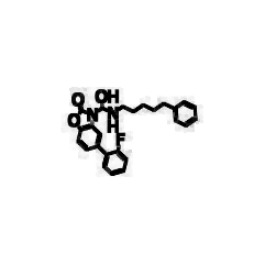 O=c1oc2ccc(-c3ccccc3F)cc2n1C(O)NCCCCCc1ccccc1